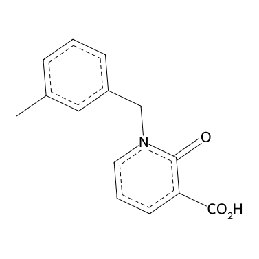 Cc1cccc(Cn2cccc(C(=O)O)c2=O)c1